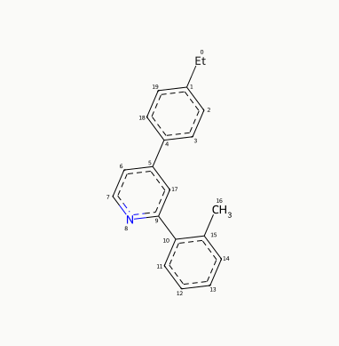 CCc1ccc(-c2ccnc(-c3ccccc3C)c2)cc1